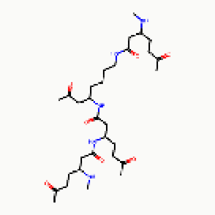 CNC(CCC(C)=O)CC(=O)NCCCCC(CC(C)=O)NC(=O)CC(CCC(C)=O)NC(=O)CC(CCC(C)=O)NC